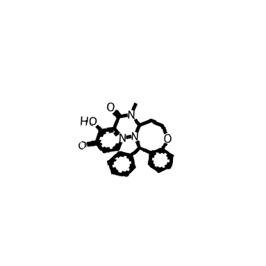 CN1C(=O)c2c(O)c(=O)ccn2N2C(c3ccccc3)c3ccccc3OCCC12